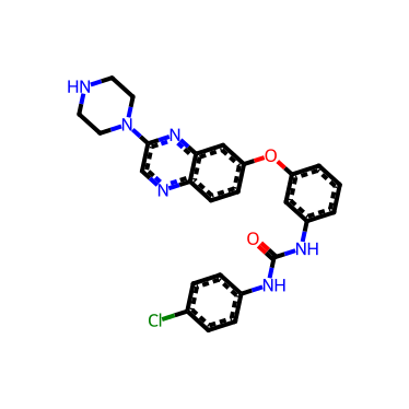 O=C(Nc1ccc(Cl)cc1)Nc1cccc(Oc2ccc3ncc(N4CCNCC4)nc3c2)c1